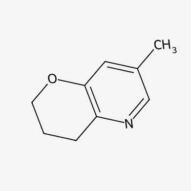 Cc1cnc2c(c1)OCCC2